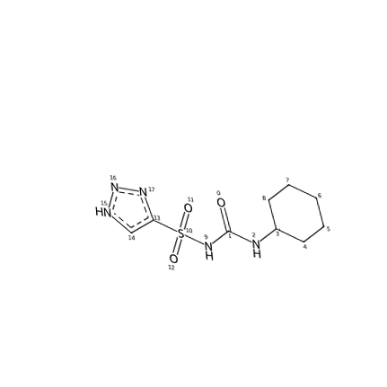 O=C(N[C]1CCCCC1)NS(=O)(=O)c1c[nH]nn1